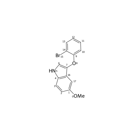 COc1ccc2[nH]cc(Oc3ccccc3Br)c2c1